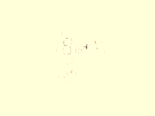 Fc1c(F)c(F)c2[c]([Na])c(F)c(F)c(F)c2c1F.OB(O)O.OB(O)O.OB(O)O.OB(O)O